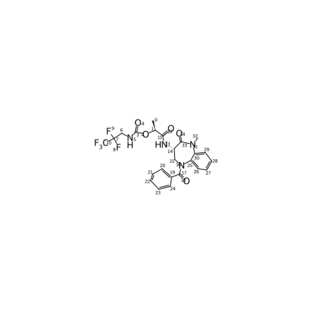 C[C@H](OC(=O)NCC(F)(F)C(F)(F)F)C(=O)N[C@H]1CN(C(=O)c2ccccc2)c2ccccc2N(C)C1=O